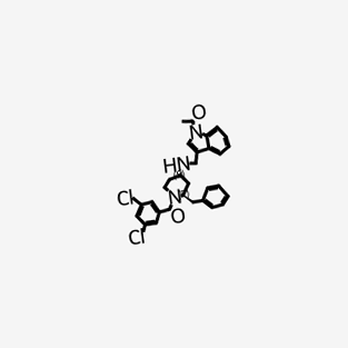 CC(=O)n1cc(CN[C@H]2CCN(C(=O)c3cc(Cl)cc(Cl)c3)[C@H](Cc3ccccc3)C2)c2ccccc21